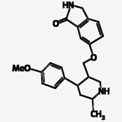 COc1ccc(C2CC(C)NCC2COc2ccc3c(c2)C(=O)NC3)cc1